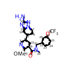 COc1ncc(-c2ccn3nc(N)nc3c2)cc1C(=O)N(C)Cc1cccc(OC(F)(F)F)c1